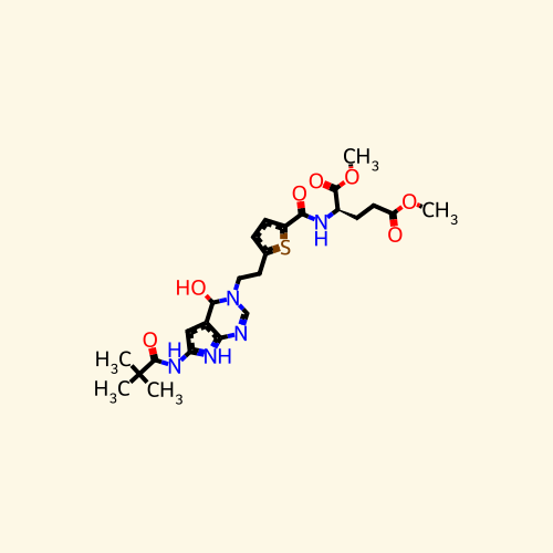 COC(=O)CC[C@@H](NC(=O)c1ccc(CCN2C=Nc3[nH]c(NC(=O)C(C)(C)C)cc3C2O)s1)C(=O)OC